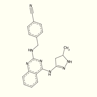 CC1CC(Nc2nc(NCc3ccc(C#N)cc3)nc3ccccc23)=NN1